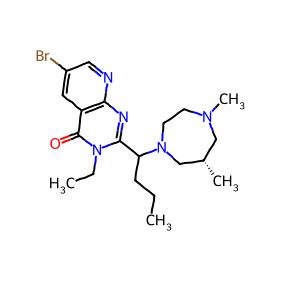 CCCC(c1nc2ncc(Br)cc2c(=O)n1CC)N1CCN(C)C[C@H](C)C1